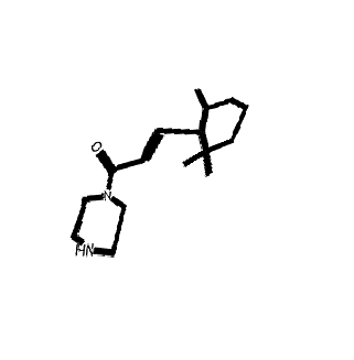 CC1CCCC(C)(C)C1C=CC(=O)N1CCNCC1